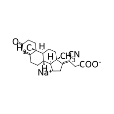 C[C@]12CCC(=O)C=C1CC[C@@H]1[C@@H]2CC[C@]2(C)/C(=C(\C#N)CC(=O)[O-])CC[C@@H]12.[Na+]